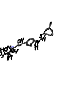 CC(C)[C@H](N/C(=N\O)c1cc(-c2ccc(Nc3nc4ccc(F)cc4s3)cc2)no1)C(=O)O